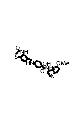 COc1ccc2nccc(NC(=O)[C@]3(O)CC[C@@H](NCc4ccc5c(c4)NC(=O)CS5)CC3)c2n1